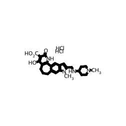 CN1CCC(NCc2cc3cc4c(cc3n2C)CCCc2c-4[nH]c(=O)c(C(=O)O)c2O)CC1.Cl.Cl